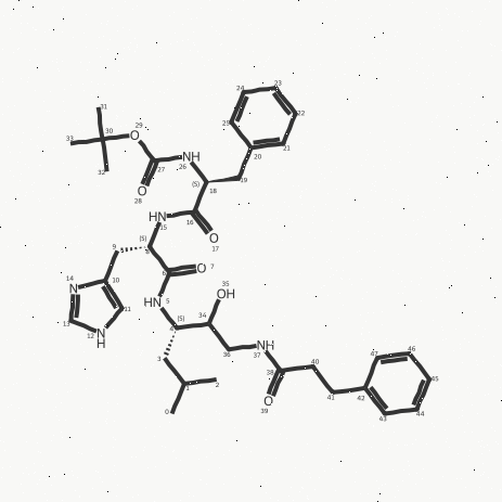 CC(C)C[C@H](NC(=O)[C@H](Cc1c[nH]cn1)NC(=O)[C@H](Cc1ccccc1)NC(=O)OC(C)(C)C)C(O)CNC(=O)CCc1ccccc1